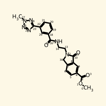 COC(=O)c1ccc2c(c1)C(=O)N(CCNC(=O)c1cccc(-c3nnn(C)n3)c1)C2